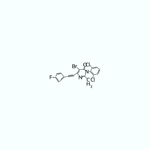 Cc1nc(C#Cc2ccc(F)cc2)c(Br)c(=O)n1-c1c(Cl)cccc1Cl